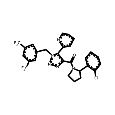 O=C(c1nnn(Cc2cc(C(F)(F)F)cc(C(F)(F)F)c2)c1-c1ccccn1)N1CCCC1c1ccccc1Cl